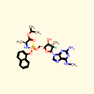 CNc1nc(N)nc2c1ncn2[C@@H]1O[C@H](CO[P@](=S)(N[C@@H](C)C(=O)OC(C)C)Oc2cccc3ccccc23)[C@@H](O)[C@@]1(C)F